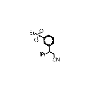 CCS(=O)(=O)c1cccc(C(CC#N)C(C)C)c1